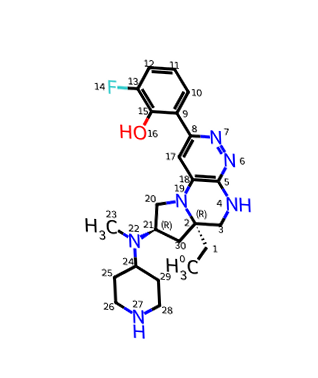 CC[C@@]12CNc3nnc(-c4cccc(F)c4O)cc3N1C[C@H](N(C)C1CCNCC1)C2